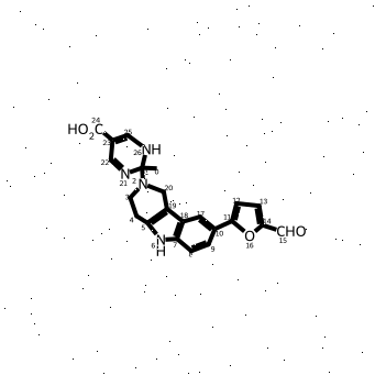 CC1(N2CCc3[nH]c4ccc(-c5ccc(C=O)o5)cc4c3C2)N=CC(C(=O)O)=CN1